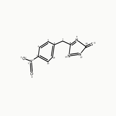 O=[N+]([O-])c1ccc(CC2=NC(=S)N=N2)cc1